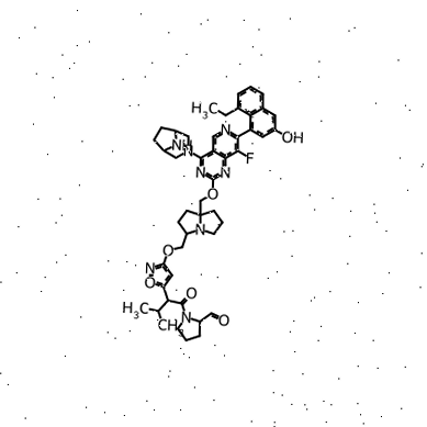 CCc1cccc2cc(O)cc(-c3ncc4c(N5CC6CCC(C5)N6)nc(OCC56CCCN5C(COc5cc(C(C(=O)N7CCCC7C=O)C(C)C)on5)CC6)nc4c3F)c12